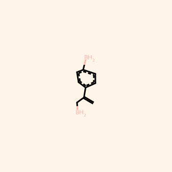 BCC(=C)c1ccc(B)cc1